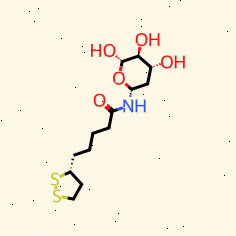 O=C(CCCC[C@@H]1CCSS1)N[C@H]1C[C@@H](O)[C@H](O)[C@@H](O)O1